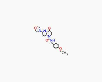 CCOc1ccc(CNC(=O)N2CCC(=O)c3nc(N4CCOCC4)ccc32)cc1